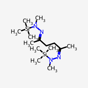 CC(CCC(C)=NN(C)[Si](C)(C)C)=NN(C)[Si](C)(C)C